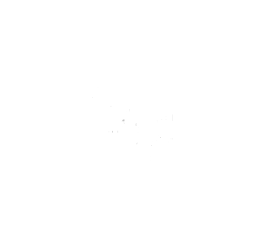 C=CCOC(=O)c1cc(Cl)c(O)c(Cl)c1